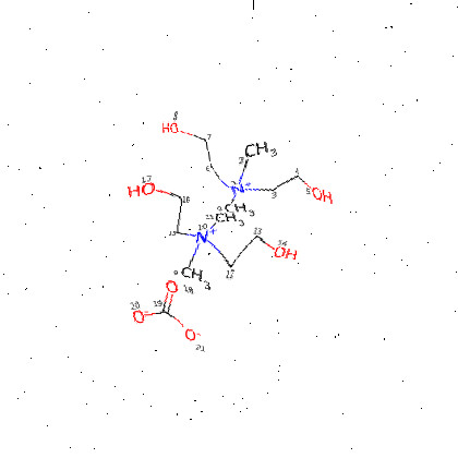 C[N+](C)(CCO)CCO.C[N+](C)(CCO)CCO.O=C([O-])[O-]